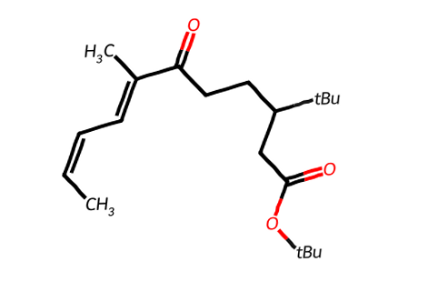 C/C=C\C=C(/C)C(=O)CCC(CC(=O)OC(C)(C)C)C(C)(C)C